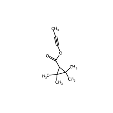 CC#COC(=O)C1C(C)(C)C1(C)C